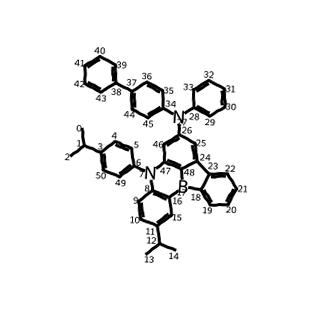 CC(C)c1ccc(N2c3ccc(C(C)C)cc3B3c4ccccc4-c4cc(N(c5ccccc5)c5ccc(-c6ccccc6)cc5)cc2c43)cc1